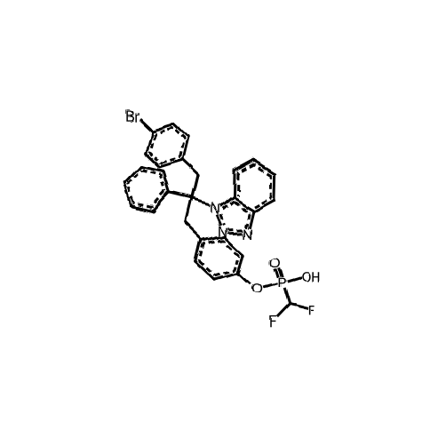 O=P(O)(Oc1ccc(CC(Cc2ccc(Br)cc2)(c2ccccc2)n2nnc3ccccc32)cc1)C(F)F